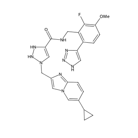 COc1ccc(-c2c[nH]nn2)c(CNC(=O)C2=CN(Cc3cn4cc(C5CC5)ccc4n3)NN2)c1F